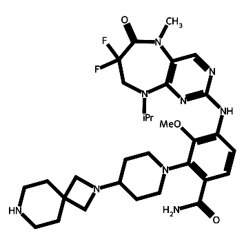 COc1c(Nc2ncc3c(n2)N(C(C)C)CC(F)(F)C(=O)N3C)ccc(C(N)=O)c1N1CCC(N2CC3(CCNCC3)C2)CC1